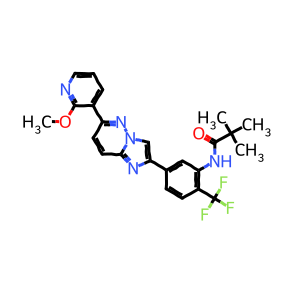 COc1ncccc1-c1ccc2nc(-c3ccc(C(F)(F)F)c(NC(=O)C(C)(C)C)c3)cn2n1